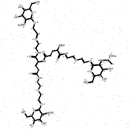 CNC(CCC(=O)NC(CCC(=O)NCCOCCOC1OC(CO)C(O)C(O)C1NC(C)=O)C(=O)NCCOCCOC1OC(CO)C(O)C(O)C1NC(C)=O)C(=O)NCCOCCOC1OC(CO)[C@H](O)C(O)C1N[C@@H](C)OC